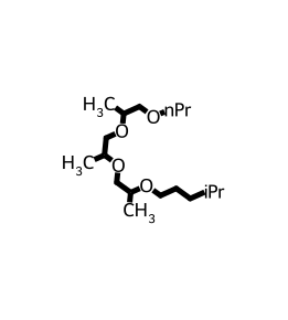 CCCOCC(C)OCC(C)OCC(C)OCCCC(C)C